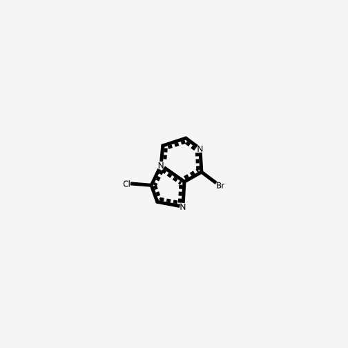 Clc1cnc2c(Br)nccn12